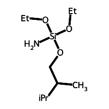 CCO[Si](N)(OCC)OCC(C)C(C)C